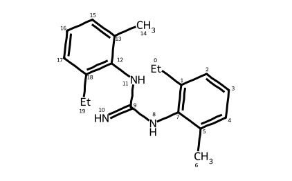 CCc1cccc(C)c1NC(=N)Nc1c(C)cccc1CC